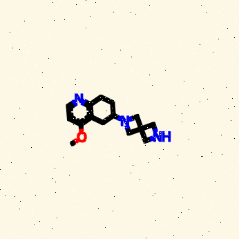 COc1ccnc2c1CC(N1CC3(CNC3)C1)CC2